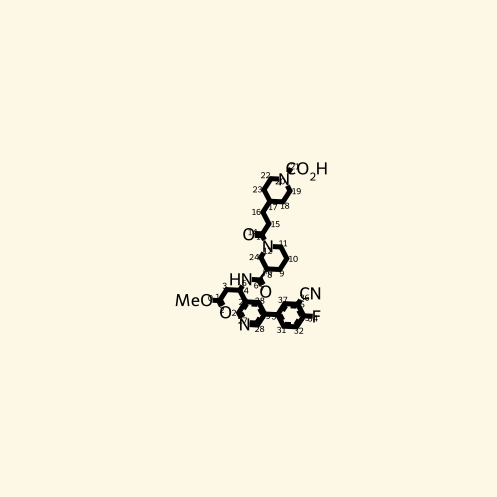 COC(=O)CC(NC(=O)[C@@H]1CCCN(C(=O)CCC2CCN(C(=O)O)CC2)C1)c1cncc(-c2ccc(F)c(C#N)c2)c1